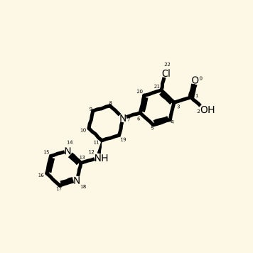 O=C(O)c1ccc(N2CCC[C@H](Nc3ncccn3)C2)cc1Cl